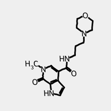 Cn1cc(C(=O)NCCCN2CCOCC2)c2cc[nH]c2c1=O